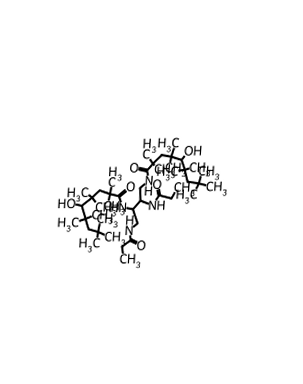 CCC(=O)NCC(NC(=O)C(C)(C)CC(C)(C)C(O)C(C)(C)CC(C)(C)C)C(CNC(=O)C(C)(C)CC(C)(C)C(O)C(C)(C)CC(C)(C)C)NC(=O)CC